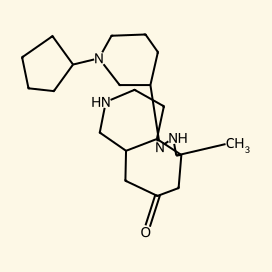 CC1NN(C2CCCN(C3CCCC3)C2)C23CCNCC2CC(=O)CC13